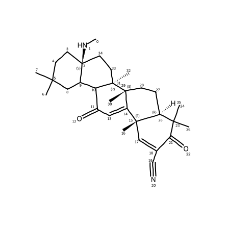 CN[C@]12CCC(C)(C)CC1C1C(=O)C=C3[C@@]4(C)C=C(C#N)C(=O)C(C)(C)[C@@H]4CC[C@@]3(C)[C@]1(C)CC2